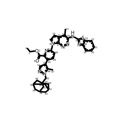 CCOC(=O)c1nc(-n2ccc3c(C)c(Nc4nc5ccccc5s4)nnc32)ccc1-c1cnn(CC23CC4CC(CC(C4)C2)C3)c1C